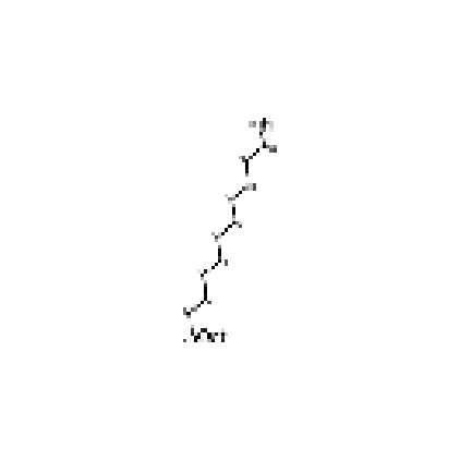 [CH2]CCCCCCCCCCCCCCCCCC(C)C